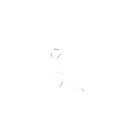 Cc1cc(COC2CN(C(=O)[C@H]3C[C@@]4(COC(=O)N4)C3)C2)ccc1C(F)(F)F